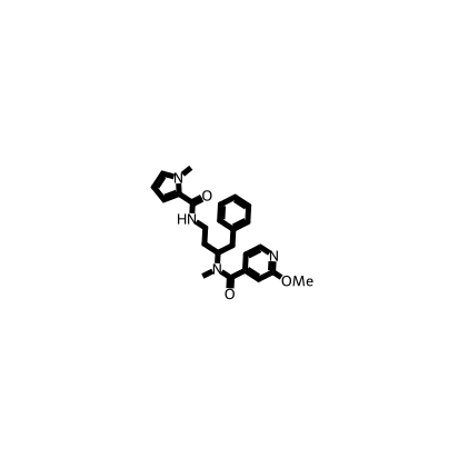 COc1cc(C(=O)N(C)C(CCNC(=O)c2cccn2C)Cc2ccccc2)ccn1